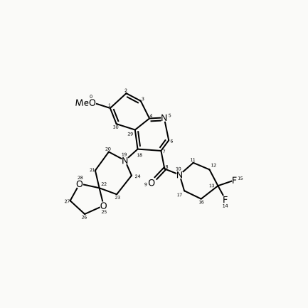 COc1ccc2ncc(C(=O)N3CCC(F)(F)CC3)c(N3CCC4(CC3)OCCO4)c2c1